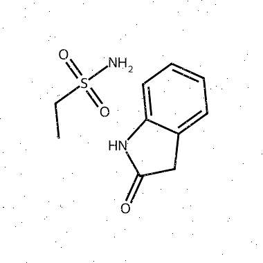 CCS(N)(=O)=O.O=C1Cc2ccccc2N1